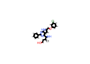 CCC(CCO)C(=N)c1nc(-c2ccccc2)nc2[nH]c(COc3cccc(Cl)c3)cc12